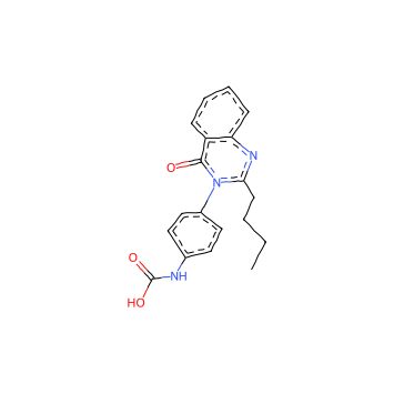 CCCCc1nc2ccccc2c(=O)n1-c1ccc(NC(=O)O)cc1